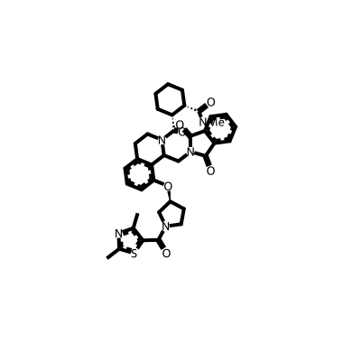 CNC(=O)[C@H]1CCCC[C@H]1C(=O)N1CCc2cccc(O[C@H]3CCN(C(=O)c4sc(C)nc4C)C3)c2C1CN1C(=O)c2ccccc2C1=O